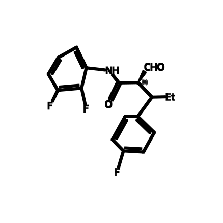 CCC(c1ccc(F)cc1)[C@H](C=O)C(=O)Nc1cccc(F)c1F